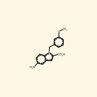 Nc1ccc2c(c1)cc(C(=O)O)n2Cc1cccc(OC(F)(F)F)c1